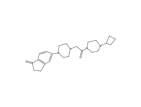 O=C1CCc2cc(N3CCN(CC(=O)N4CCN(C5CCC5)CC4)CC3)ccc21